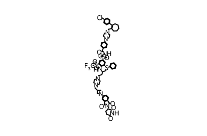 O=C1CCC(N2C(=O)c3ccc(N4CC(CN5CCN(CCC(CSc6ccccc6)Nc6ccc(S(=O)(=O)NC(=O)c7ccc(N8CCN(CC9=C(c%10ccc(Cl)cc%10)CCCCC9)CC8)cc7)cc6S(=O)(=O)C(F)(F)F)CC5)C4)cc3C2=O)C(=O)N1